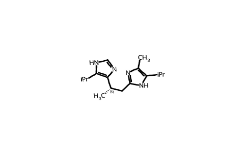 Cc1nc(C[C@H](C)c2nc[nH]c2C(C)C)[nH]c1C(C)C